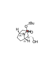 CC(C)(C)OC(=O)N1[C@@H]2CC[C@H]1[C@@H](CO)NC2